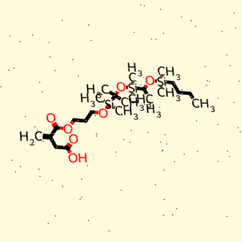 C=C(CC(=O)O)C(=O)OCCCO[Si](C)(C)C(C)(C)O[Si](C)(C)C(C)O[Si](C)(C)CCCC